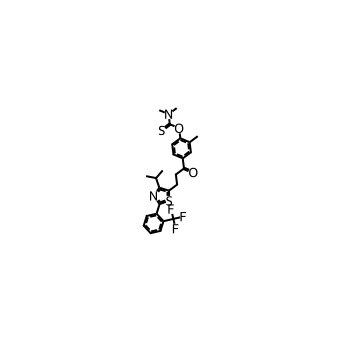 Cc1cc(C(=O)CCc2sc(-c3ccccc3C(F)(F)F)nc2C(C)C)ccc1OC(=S)N(C)C